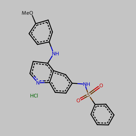 COc1ccc(Nc2ccnc3ccc(NS(=O)(=O)c4ccccc4)cc23)cc1.Cl